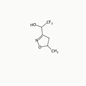 CC1CC(C(O)C(F)(F)F)=NO1